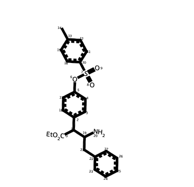 CCOC(=O)C(c1ccc(OS(=O)(=O)c2ccc(C)cc2)cc1)C(N)Cc1ccccc1